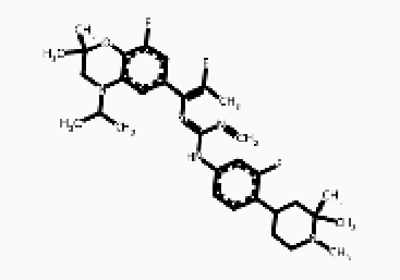 C=N/C(=N\C(=C(/C)F)c1cc(F)c2c(c1)N(C(C)C)CC(C)(C)O2)Nc1ccc(C2CCN(C)C(C)(C)C2)c(F)c1